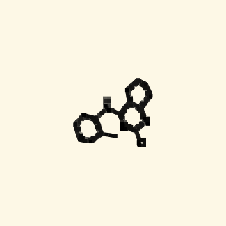 Cc1ccccc1Nc1nc(Cl)nc2ccccc12